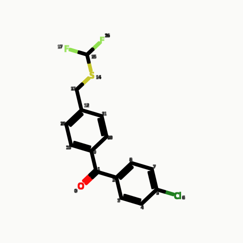 O=C(c1ccc(Cl)cc1)c1ccc(CSC(F)F)cc1